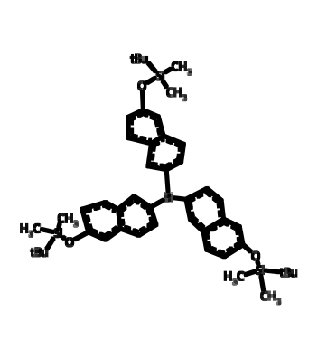 CC(C)(C)[Si](C)(C)Oc1ccc2c[c]([Bi]([c]3ccc4cc(O[Si](C)(C)C(C)(C)C)ccc4c3)[c]3ccc4cc(O[Si](C)(C)C(C)(C)C)ccc4c3)ccc2c1